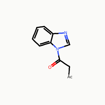 CC(=O)CC(=O)n1cnc2ccccc21